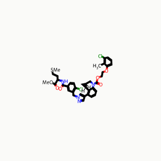 COC(=O)C(CCSC)NC(=O)c1ccc(Cl)c(Cn2cc(-c3cccc4c3[C@H]3C[C@H]3CN4C(=O)OCCOc3cccc(Cl)c3C)cn2)c1